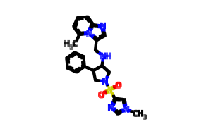 Cc1cccc2ncc(CNC3CN(S(=O)(=O)c4cn(C)cn4)CC3c3ccccc3)n12